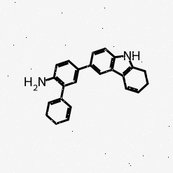 Nc1ccc(-c2ccc3[nH]c4c(c3c2)C=CCC4)cc1C1=CCCC=C1